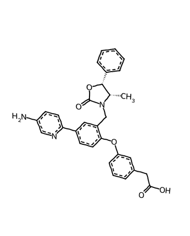 C[C@H]1[C@@H](c2ccccc2)OC(=O)N1Cc1cc(-c2ccc(N)cn2)ccc1Oc1cccc(CC(=O)O)c1